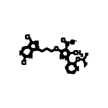 Cc1c([N+](=O)[O-])c(OCCCn2nc(Cl)c3cnc(Cl)nc32)nn1-c1cccnc1OC(F)F